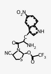 N#C[C@H]1CS[C@H](OC(=O)C(F)(F)F)N1C(=O)C(N)Cc1c[nH]c2ccc([N+](=O)[O-])cc12